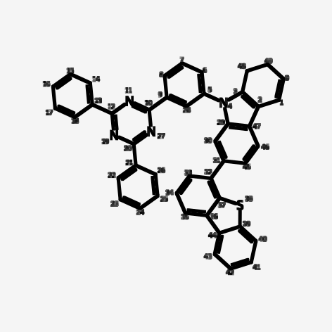 C1=Cc2c(n(-c3cccc(-c4nc(-c5ccccc5)nc(-c5ccccc5)n4)c3)c3cc(-c4cccc5c4sc4ccccc45)ccc23)CC1